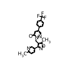 Cc1ccc(-c2noc(C)c2Cn2ncc(-c3ccc(C(F)(F)F)cc3)cc2=O)cn1